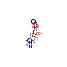 Cc1cn([C@H]2O[C@@H](CO[PH](=O)Oc3ccccc3)C(O)[C@H]2Cl)c(=S)[nH]c1=S